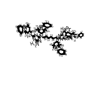 CCCC(Nc1nc(N)nc(N(CCCCCCN(c2nc(N)nc(NC(CCC)C3CC(C)(C)N(OC4CCCCC4)C(C)(C)C3)n2)C2CC(C)(C)N(OC3CCCCC3)C(C)(C)C2)C2CC(C)(C)N(OC3CCCCC3)C(C)(C)C2)n1)C1CC(C)(C)N(OC2CCCCC2)C(C)(C)C1